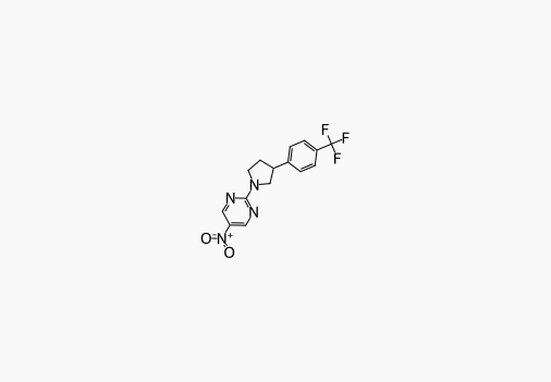 O=[N+]([O-])c1cnc(N2CCC(c3ccc(C(F)(F)F)cc3)C2)nc1